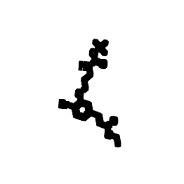 CCOC(=O)/C=C/c1ccc(Br)c(OCCCNC(=O)OC(C)(C)C)c1